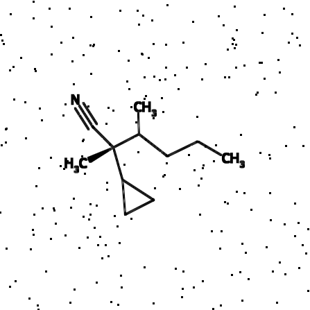 CCCC(C)[C@@](C)(C#N)C1CC1